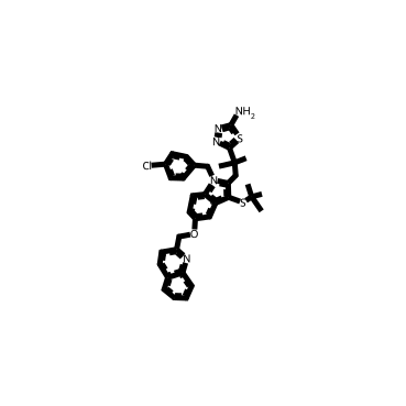 CC(C)(C)Sc1c(CC(C)(C)c2nnc(N)s2)n(Cc2ccc(Cl)cc2)c2ccc(OCc3ccc4ccccc4n3)cc12